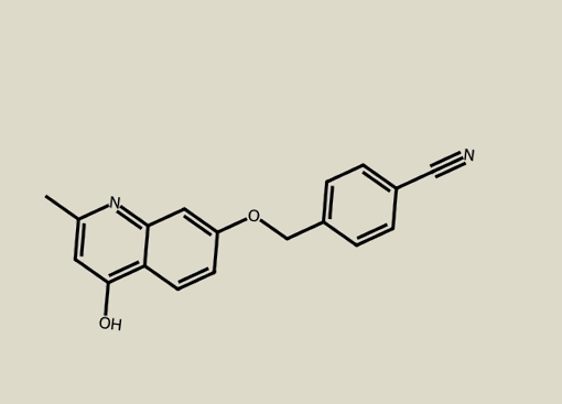 Cc1cc(O)c2ccc(OCc3ccc(C#N)cc3)cc2n1